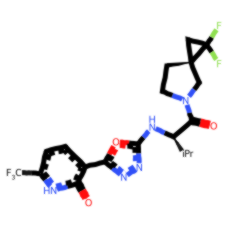 CC(C)[C@@H](Nc1nnc(-c2ccc(C(F)(F)F)[nH]c2=O)o1)C(=O)N1CC[C@@]2(C1)CC2(F)F